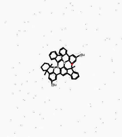 CC(C)(C)c1ccc(N2c3sc4ccccc4c3B3c4c(cc5c(c42)C(C)(C)c2ccccc2-5)-c2cc(C(C)(C)C)cc4c2N3C2(C)CCCCC42C)c(-c2ccccc2)c1